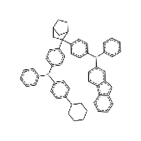 c1ccc(N(c2ccc(C3CCCCC3)cc2)c2ccc(C3(c4ccc(N(c5ccccc5)c5ccc6c(c5)oc5ccccc56)cc4)CC4CCC3C4)cc2)cc1